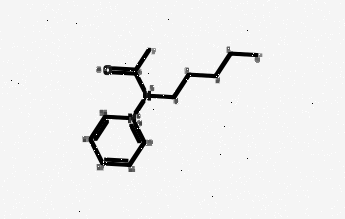 [CH2]CCCCN(C(C)=O)[n+]1ccccc1